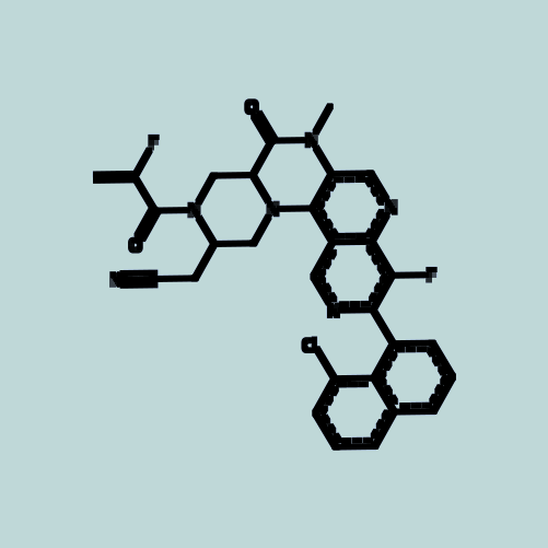 C=C(F)C(=O)N1CC2C(=O)N(C)c3cnc4c(F)c(-c5cccc6cccc(Cl)c56)ncc4c3N2CC1CC#N